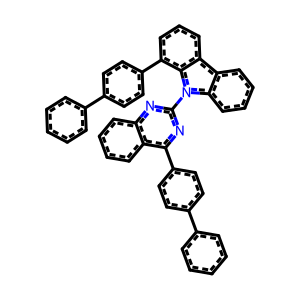 c1ccc(-c2ccc(-c3nc(-n4c5ccccc5c5cccc(-c6ccc(-c7ccccc7)cc6)c54)nc4ccccc34)cc2)cc1